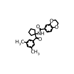 Cc1cc(C)cc(C(=O)C2(NC(=O)c3ccc4c(c3)OCCO4)CCCC2)c1